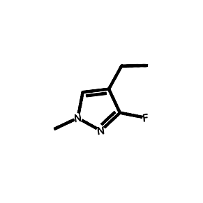 CCc1cn(C)nc1F